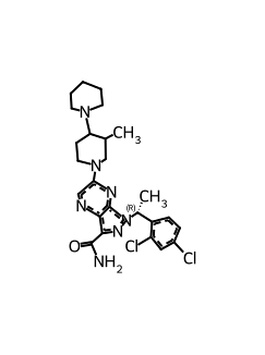 CC1CN(c2cnc3c(C(N)=O)nn([C@H](C)c4ccc(Cl)cc4Cl)c3n2)CCC1N1CCCCC1